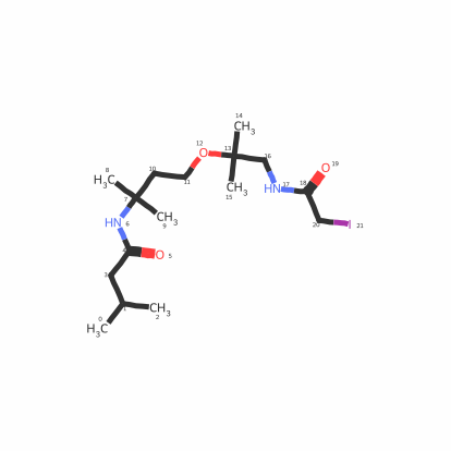 CC(C)CC(=O)NC(C)(C)CCOC(C)(C)CNC(=O)CI